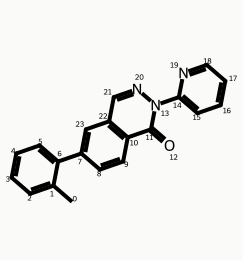 Cc1ccccc1-c1ccc2c(=O)n(-c3ccccn3)ncc2c1